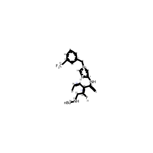 C=C(Nc1cn(Cc2cccc(C(F)(F)F)c2)cn1)C(/C=C\C)=C(\F)CNCCCC